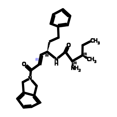 CC[C@@H](C)[C@H](N)C(=O)N[C@H](/C=C/C(=O)N1Cc2ccccc2C1)CCc1ccccc1